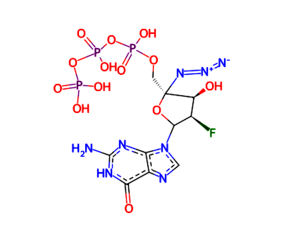 [N-]=[N+]=N[C@]1(COP(=O)(O)OP(=O)(O)OP(=O)(O)O)OC(n2cnc3c(=O)[nH]c(N)nc32)[C@H](F)[C@@H]1O